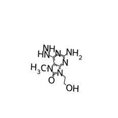 Cn1c(=O)n(CCO)c2nc(N)nc(NN)c21